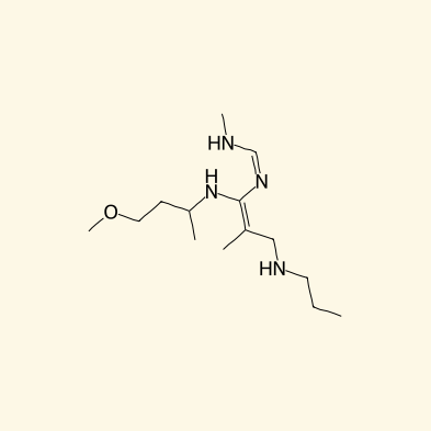 CCCNC/C(C)=C(\N=C/NC)NC(C)CCOC